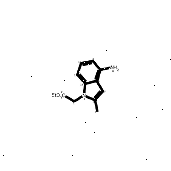 CCOC(=O)Cn1c(C)cc2c(N)cccc21